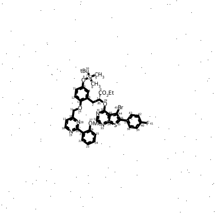 CCOC(=O)[C@@H](Cc1cc(O[Si](C)(C)C(C)(C)C)ccc1OCc1ccnc(-c2ccccc2OC)n1)Oc1ncnc2sc(-c3ccc(F)cc3)c(Br)c12